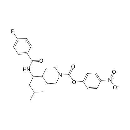 CC(C)CC(NC(=O)c1ccc(F)cc1)C1CCN(C(=O)Oc2ccc([N+](=O)[O-])cc2)CC1